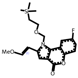 CO/C=C/c1cc2c(=O)oc3ccc(F)cc3c2n1COCC[Si](C)(C)C